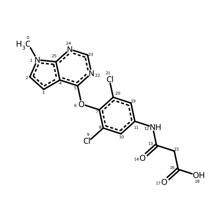 Cn1ccc2c(Oc3c(Cl)cc(NC(=O)CC(=O)O)cc3Cl)ncnc21